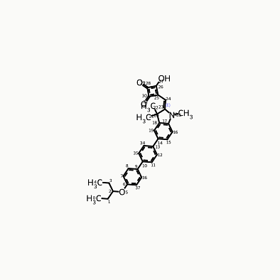 CCC(CC)Oc1ccc(-c2ccc(-c3ccc4c(c3)C(C)(C)/C(=C\c3c(O)c(=O)c3=O)N4C)cc2)cc1